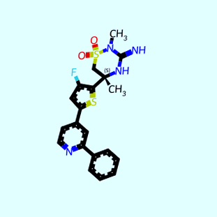 CN1C(=N)N[C@](C)(c2sc(-c3ccnc(-c4ccccc4)c3)cc2F)CS1(=O)=O